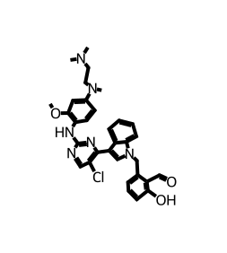 COc1cc(N(C)CCN(C)C)ccc1Nc1ncc(Cl)c(-c2cn(Cc3cccc(O)c3C=O)c3ccccc23)n1